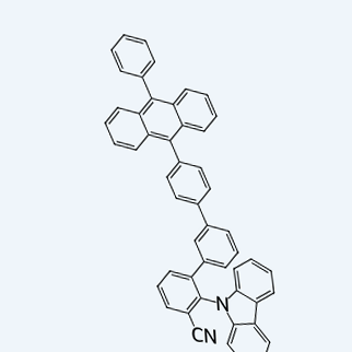 N#Cc1cccc(-c2cccc(-c3ccc(-c4c5ccccc5c(-c5ccccc5)c5ccccc45)cc3)c2)c1-n1c2ccccc2c2ccccc21